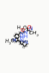 Cc1noc(C)c1NC(=O)NCc1ccc2c(c1)c(-c1cc3cccnc3[nH]1)cn2C